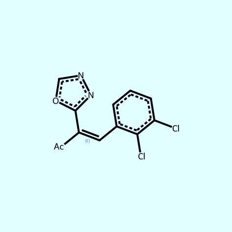 CC(=O)/C(=C/c1cccc(Cl)c1Cl)c1nnco1